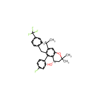 CC(C)c1cc2c(c(-c3ccc(F)cc3)c1Cc1ccc(C(F)(F)F)cc1)[C@@H](O)CC(C)(C)O2